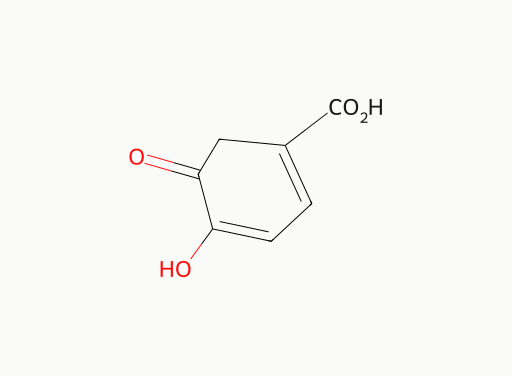 O=C(O)C1=CC=C(O)C(=O)C1